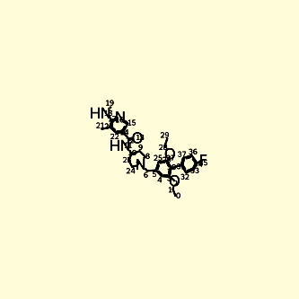 CCOc1cc(CN2CCC(NC(=O)c3cnc(NC)c(C)c3)CC2)cc(OCC)c1-c1ccc(F)cc1